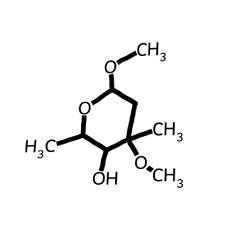 COC1CC(C)(OC)C(O)C(C)O1